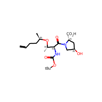 C=CCC[C@@H](C)O[C@@H](C)[C@H](NC(=O)OC(C)(C)C)C(=O)N1C[C@H](O)C[C@H]1C(=O)O